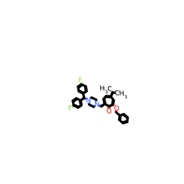 CC(C)c1ccc(CN2CCN(C(c3ccc(F)cc3)c3ccc(F)cc3)CC2)c(=O)c(OCc2ccccc2)c1